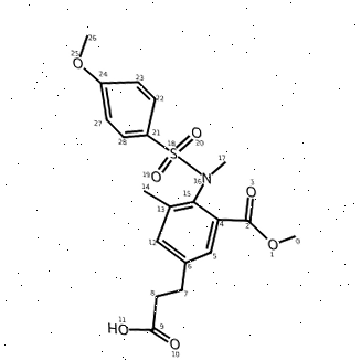 COC(=O)c1cc(CCC(=O)O)cc(C)c1N(C)S(=O)(=O)c1ccc(OC)cc1